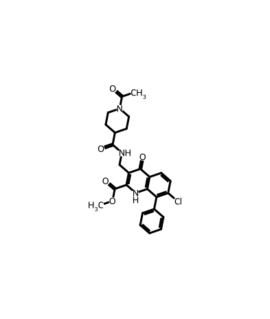 COC(=O)c1[nH]c2c(-c3ccccc3)c(Cl)ccc2c(=O)c1CNC(=O)C1CCN(C(C)=O)CC1